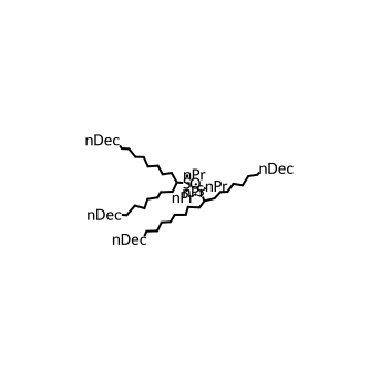 CCCCCCCCCCCCCCCCCCC(CCCCCCCCCCCCCCCCC)S(CCC)(CCC)OS(CCC)(CCC)C(CCCCCCCCCCCCCCCCC)CCCCCCCCCCCCCCCCCC